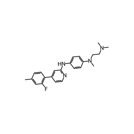 Cc1ccc(-c2ccnc(Nc3ccc(N(C)CCN(C)C)cc3)c2)c(F)c1